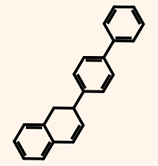 C1=CC(c2ccc(-c3ccccc3)cc2)Cc2ccccc21